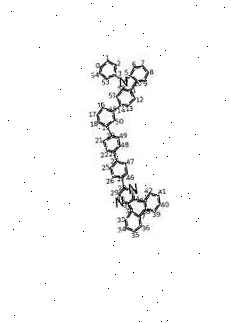 c1ccc(-n2c3ccccc3c3ccc(-c4cccc(-c5ccc(-c6ccc(-c7cnc8c9ccccc9c9ccccc9c8n7)cc6)cc5)c4)cc32)cc1